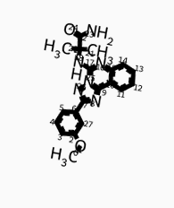 COc1cccc(-c2nc3c4ccccc4nc(NC(C)(C)C(N)=O)n3n2)c1